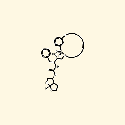 O=C(N[C@@H](Cc1ccccc1)[C@H](O)CN1CCCC/C=C\CCCCOc2cccc(c2)S1(=O)=O)O[C@H]1CO[C@H]2OCCC21